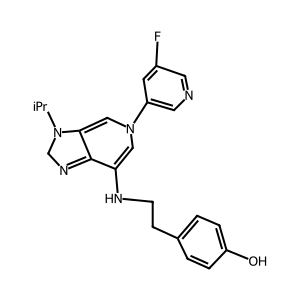 CC(C)N1CN=C2C(NCCc3ccc(O)cc3)=CN(c3cncc(F)c3)C=C21